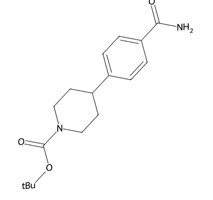 CC(C)(C)OC(=O)N1CCC(c2ccc(C(N)=O)cc2)CC1